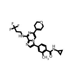 Cc1cc(-c2cnc3c(NCCC(F)(F)F)nc(C4=CCOCC4)cn23)ccc1C(=O)NC1CC1